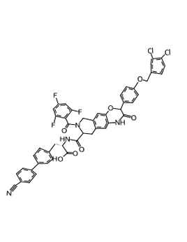 N#Cc1ccc(-c2ccc(C[C@H](NC(=O)C3Cc4cc5c(cc4CN3C(=O)c3c(F)cc(F)cc3F)OC(c3ccc(OCc4ccc(Cl)c(Cl)c4)cc3)C(=O)N5)C(=O)O)cc2)cc1